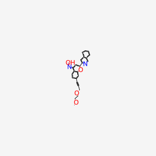 COCCOCC#Cc1ccc2c(=NO)cc(-c3cc4ccccc4cn3)oc2c1